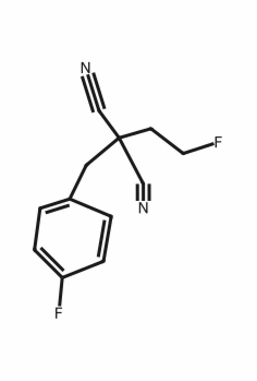 N#CC(C#N)(CCF)Cc1ccc(F)cc1